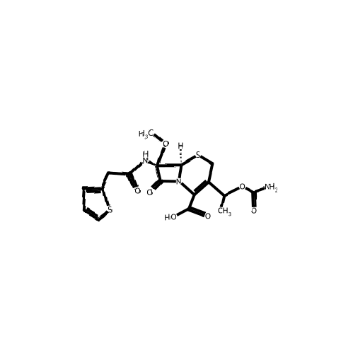 CO[C@@]1(NC(=O)Cc2cccs2)C(=O)N2C(C(=O)O)=C(C(C)OC(N)=O)CS[C@@H]21